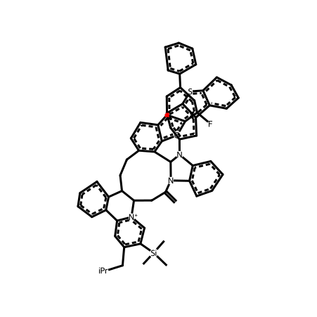 C=C1CC2C(CCc3ccc4c(oc5c(F)cc(-c6ccccc6)cc54)c3C3N1c1ccccc1N3c1ccc3sc4ccccc4c3c1)c1ccccc1-c1cc(CC(C)C)c([Si](C)(C)C)c[n+]12